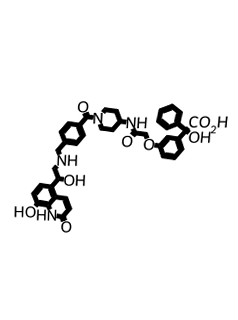 O=C(COc1cccc(C(O)(C(=O)O)c2ccccc2)c1)NC1CCN(C(=O)c2ccc(CNCC(O)c3ccc(O)c4[nH]c(=O)ccc34)cc2)CC1